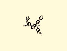 Cc1ccc([S+]([O-])n2c(-c3ccc(N4CCOCC4)cc3)cc3c(-c4ccc(OC5CCOCC5)c(C#N)n4)ccnc32)cc1